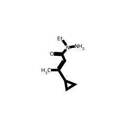 CCN(N)C(=O)/C=C(\C)C1CC1